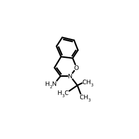 CC(C)(C)N1Oc2ccccc2C=C1N